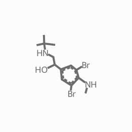 CNc1c(Br)cc(C(O)CNC(C)(C)C)cc1Br